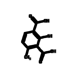 Cc1ccc(C(=O)O)c(S)c1C(=O)O